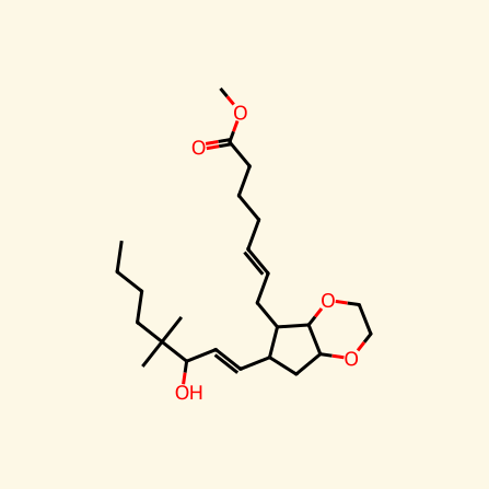 CCCCC(C)(C)C(O)C=CC1CC2OCCOC2C1CC=CCCCC(=O)OC